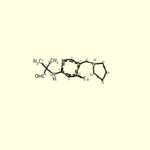 CC(C)(C=O)Nc1ccc(CN2CCCC2)c(F)c1